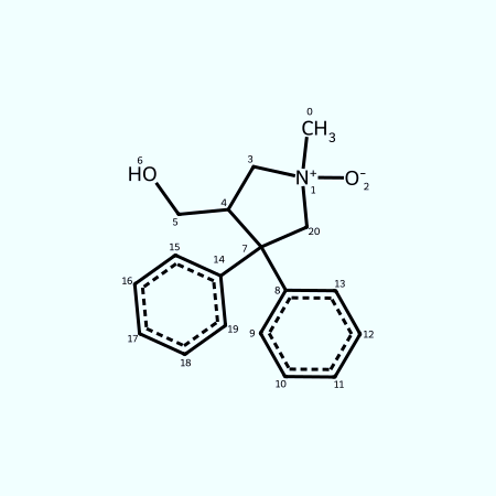 C[N+]1([O-])CC(CO)C(c2ccccc2)(c2ccccc2)C1